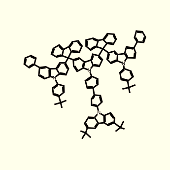 CC(C)(C)c1ccc(-n2c3ccc(-c4ccccc4)cc3c3cc(C4(c5ccc6c(c5)c5cc(C7(c8ccc9c(c8)c8cc(-c%10ccccc%10)ccc8n9-c8ccc(C(C)(C)C)cc8)c8ccccc8-c8ccccc87)ccc5n6-c5ccc(-c6ccc(-n7c8ccc(C(C)(C)C)cc8c8cc(C(C)(C)C)ccc87)cc6)cc5)c5ccccc5-c5ccccc54)ccc32)cc1